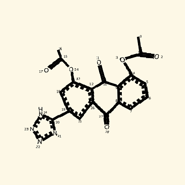 CC(=O)Oc1cccc2c1C(=O)c1c(OC(C)=O)cc(-c3nnn[nH]3)cc1C2=O